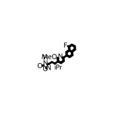 COc1nc(-c2ccc3cccc(F)c3c2)ccc1C(Cc1noc(=O)[nH]1)C(C)C